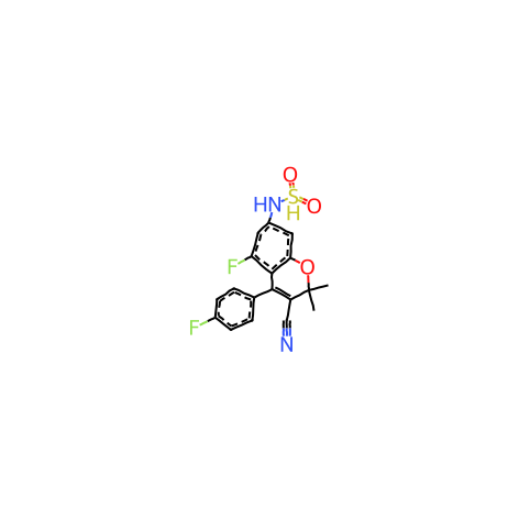 CC1(C)Oc2cc(N[SH](=O)=O)cc(F)c2C(c2ccc(F)cc2)=C1C#N